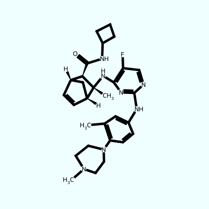 Cc1cc(Nc2ncc(F)c(N[C@]3(C)[C@@H]4C=C[C@@H](C4)[C@H]3C(=O)NC3CCC3)n2)ccc1N1CCN(C)CC1